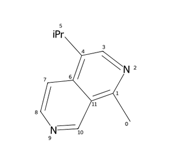 Cc1ncc(C(C)C)c2ccncc12